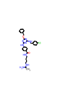 C=C(N)NCCCCNC(=O)c1ccc(Nc2nc(NCc3ccc(Cl)cc3)nc(OCc3ccccc3)n2)cc1